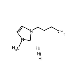 CCCCN1C=CN(C)C1.I.I.I